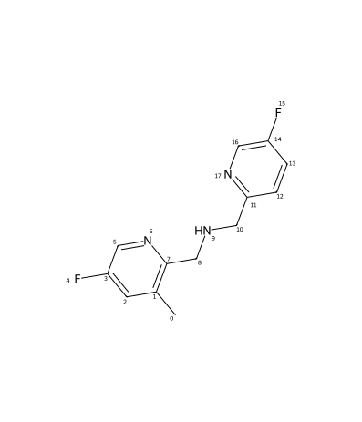 Cc1cc(F)cnc1CNCc1ccc(F)cn1